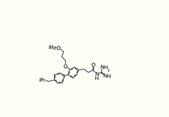 COCCCOc1cc(CCC(=O)NC(=N)N)ccc1-c1ccc(CC(C)C)cc1